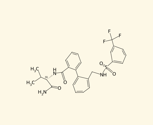 CC(C)[C@H](NC(=O)c1ccccc1-c1ccccc1CNS(=O)(=O)c1cccc(C(F)(F)F)c1)C(N)=O